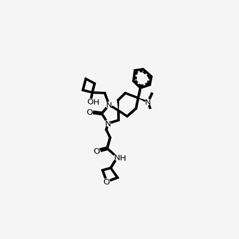 CN(C)[C@]1(c2ccccc2)CC[C@@]2(CC1)CN(CCC(=O)NC1COC1)C(=O)N2CC1(O)CCC1